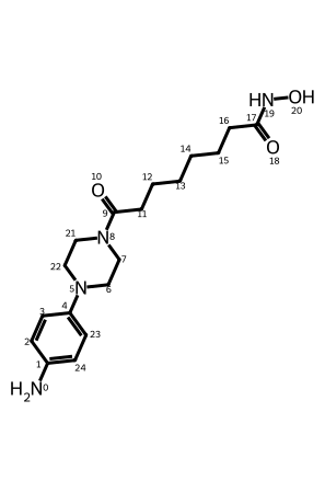 Nc1ccc(N2CCN(C(=O)CCCCCCC(=O)NO)CC2)cc1